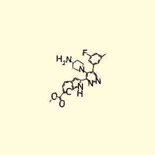 COC(=O)c1ccc2cc(-c3nncc(-c4cc(C)cc(F)c4)c3N3CCC(N)CC3)[nH]c2c1